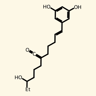 CCC(O)CCCC(=C=O)CCC/C=C/c1cc(O)cc(O)c1